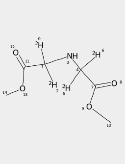 [2H]C([2H])(NC([2H])([2H])C(=O)OC)C(=O)OC